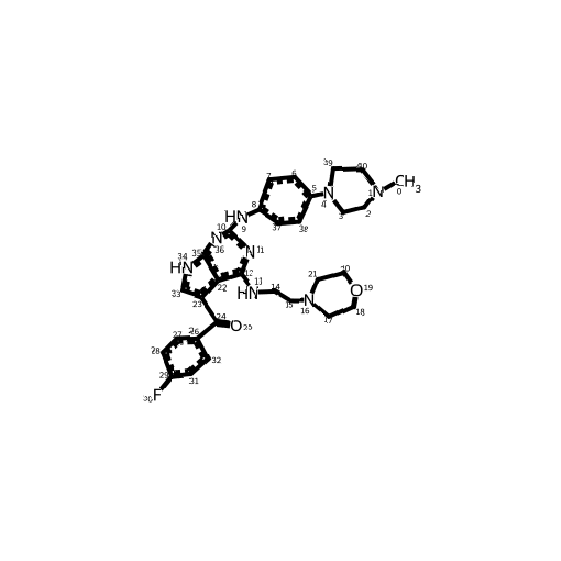 CN1CCN(c2ccc(Nc3nc(NCCN4CCOCC4)c4c(C(=O)c5ccc(F)cc5)c[nH]c4n3)cc2)CC1